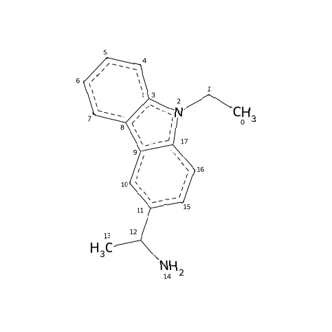 CCn1c2ccccc2c2cc(C(C)N)ccc21